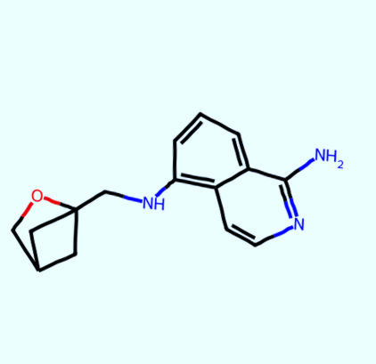 Nc1nccc2c(NCC34CC(CO3)C4)cccc12